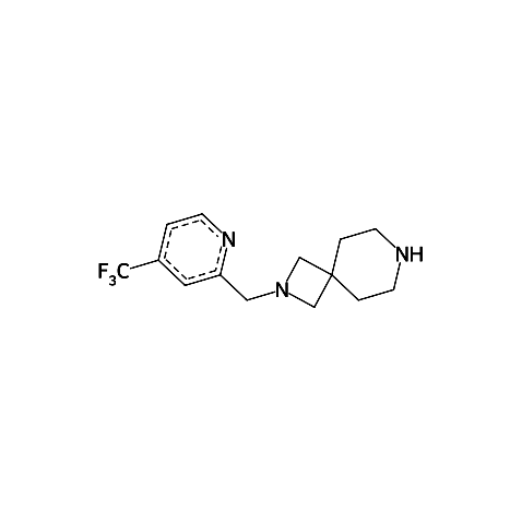 FC(F)(F)c1ccnc(CN2CC3(CCNCC3)C2)c1